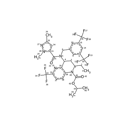 CCC1CC(N(Cc2cc(C(F)(F)F)cc(C(F)(F)F)c2)C(=O)c2cc(C)nn2C)c2nc(C(F)(F)F)ccc2N1C(=O)OC(C)C